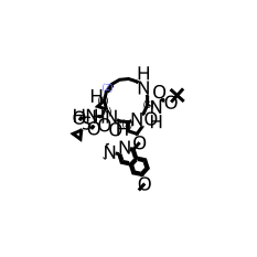 COc1ccc2c(OC3C[C@H]4C(=O)N[C@]5(C(=O)NS(=O)(=O)C6CC6)C[C@H]5/C=C\CCCNC[C@H](NC(=O)OC(C)(C)C)C(=O)N4C3)nc(N(C)C)cc2c1